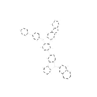 c1ccc(-c2ccc(C3c4ccc(-c5ccc6c(c5)-c5ccccc5C6c5ccc6ccccc6c5)cc4-c4cc5oc6ccccc6c5cc43)cc2)cc1